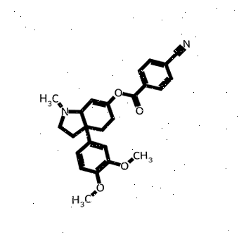 COc1ccc(C23CCC(OC(=O)c4ccc(C#N)cc4)=CC2N(C)CC3)cc1OC